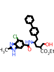 CCOC(=O)C(CO)CC(Cc1ccc(-c2ccccc2)cc1)NC(=O)c1cc(Cl)c2nc(C)[nH]c2c1